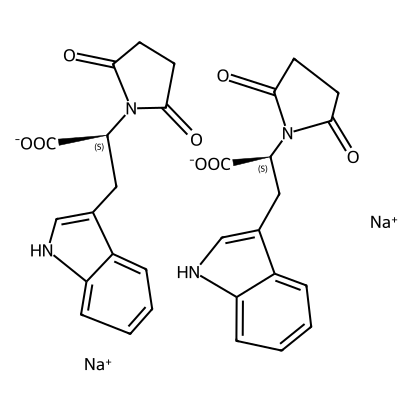 O=C([O-])[C@H](Cc1c[nH]c2ccccc12)N1C(=O)CCC1=O.O=C([O-])[C@H](Cc1c[nH]c2ccccc12)N1C(=O)CCC1=O.[Na+].[Na+]